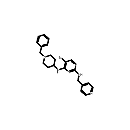 Brc1cnc(NCc2ccncc2)nc1NC1CCN(Cc2ccccc2)CC1